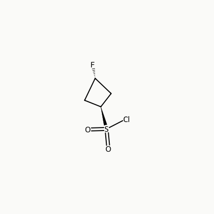 O=S(=O)(Cl)[C@H]1C[C@H](F)C1